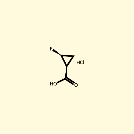 Cl.O=C(O)[C@@H]1C[C@@H]1F